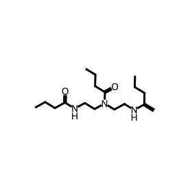 C=C(CCC)NCCN(CCNC(=O)CCC)C(=O)CCC